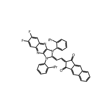 CC(C)c1ccccc1N1C(=CC=C2C(=O)c3cc4ccccc4cc3C2=O)N(c2ccccc2C(C)C)c2nc3cc(F)c(F)cc3nc21